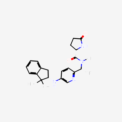 CN(C(=O)[C@@H]1CCC(=O)N1)[C@@H](c1ccc(N[C@H]2Cc3ccccc3C2(C)C)cn1)C(F)(F)F